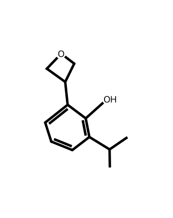 CC(C)c1cccc(C2COC2)c1O